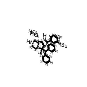 Cc1[nH]c(-c2cccc(C(C)(C)C)c2)nc1C(C(C)C)(C(c1ccccc1)c1ccccc1)N1CCNCC1.Cl.Cl.Cl